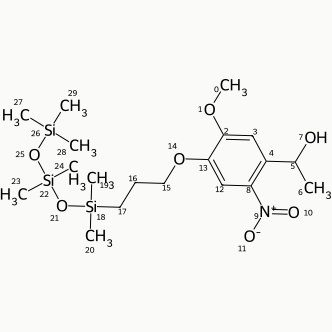 COc1cc(C(C)O)c([N+](=O)[O-])cc1OCCC[Si](C)(C)O[Si](C)(C)O[Si](C)(C)C